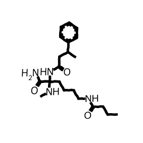 CCCC(=O)NCCCCC(NC)(NC(=O)CC(C)c1ccccc1)C(N)=O